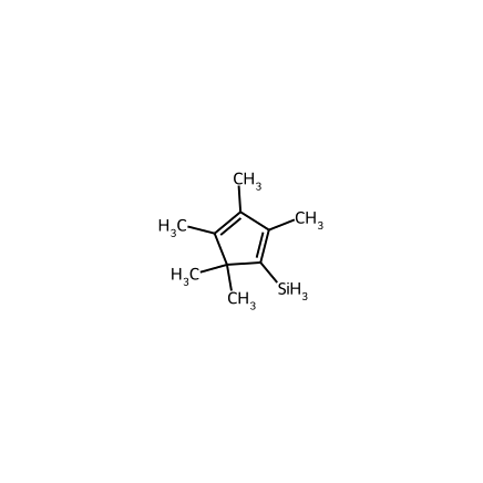 CC1=C(C)C(C)(C)C([SiH3])=C1C